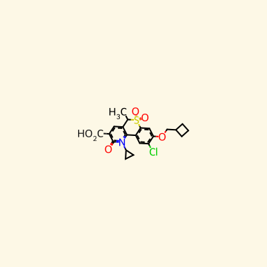 CC1c2cc(C(=O)O)c(=O)n(C3CC3)c2-c2cc(Cl)c(OCC3CCC3)cc2S1(=O)=O